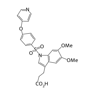 COc1cc2c(CCC(=O)O)cn(S(=O)(=O)c3ccc(Oc4ccncc4)cc3)c2cc1OC